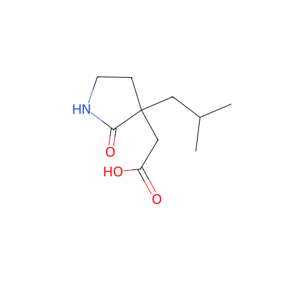 CC(C)CC1(CC(=O)O)CCNC1=O